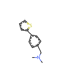 CN(C)Cc1ccc(-c2cc[c]s2)cc1